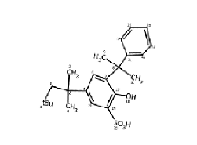 CC(C)(C)CC(C)(C)c1cc(C(C)(C)c2ccccc2)c(O)c(S(=O)(=O)O)c1